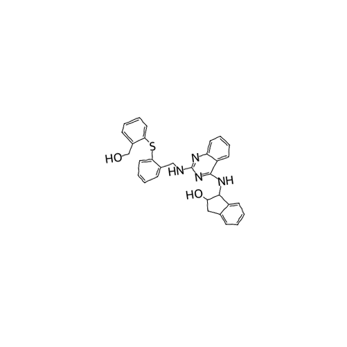 OCc1ccccc1Sc1ccccc1CNc1nc(NC2c3ccccc3CC2O)c2ccccc2n1